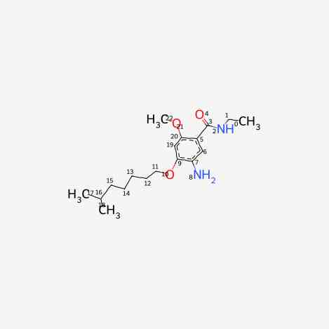 CCNC(=O)c1cc(N)c(OCCCCCC(C)C)cc1OC